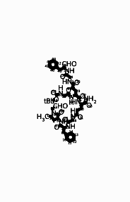 CC1CC(NC(=O)C(Cc2ccccc2)NC(=O)CNC(=O)CCC(NC(=O)C(CCC(=O)NCC(=O)NC(C=O)Cc2ccccc2)NC(=O)CNC(=O)OC(C)(C)C)C(N)=O)C(=O)N1CC=O